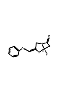 O=C1C[C@@H]2OC(=CSc3ccccc3)CN12